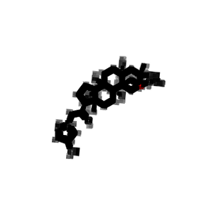 COCC[C@]12CC[C@@](C)(O)C[C@@H]1CC[C@H]1[C@@H]3CC[C@H](C(=O)Cn4cc(C#N)cn4)[C@@]3(C)CC[C@@H]12